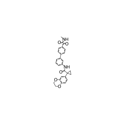 CNS(=O)(=O)c1ccc(-c2cccc(NC(=O)C3(c4ccc5c(c4)OCCO5)CC3)c2)cc1